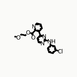 COCCOC(=O)c1ncccc1-c1ccnc(Nc2cccc(Cl)c2)n1